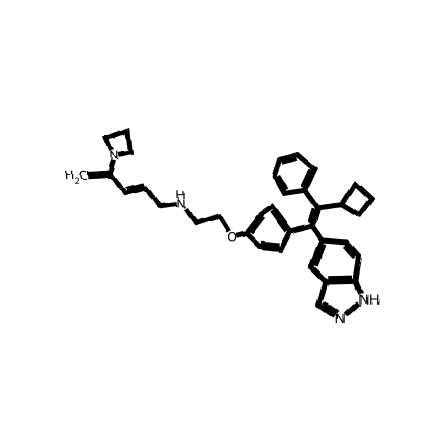 C=C(/C=C/CNCCOc1ccc(/C(=C(\c2ccccc2)C2CCC2)c2ccc3[nH]ncc3c2)cc1)N1CCC1